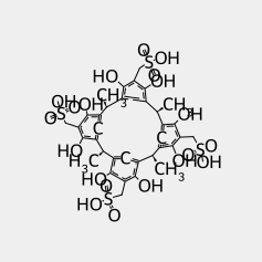 C[C@H]1c2cc(c(O)c(CS(=O)(=O)O)c2O)[C@@H](C)c2cc(c(O)c(CS(=O)(=O)O)c2O)[C@@H](C)c2cc(c(O)c(CS(=O)(=O)O)c2O)[C@@H](C)c2cc1c(O)c(CS(=O)(=O)O)c2O